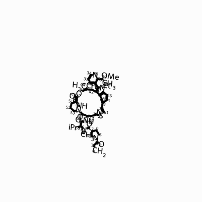 C=CC(=O)N1CC[C@H](C(=O)N(C)C(C(=O)N[C@H]2Cc3nc(cs3)-c3ccc4c(c3)c(c(-c3cccnc3[C@H](C)OC)n4CC)CC(C)(C)COC(=O)[C@@H]3CCCN(N3)C2=O)C(C)C)C1